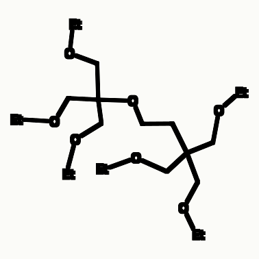 CCOCC(CCOC(COCC)(COCC)COCC)(COCC)COCC